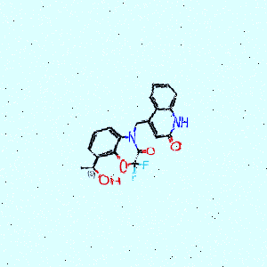 C[C@H](O)c1cccc2c1OC(F)(F)C(=O)N2Cc1cc(=O)[nH]c2ccccc12